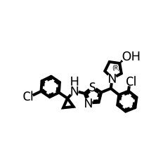 O[C@@H]1CCN(C(c2cnc(NC3(c4cccc(Cl)c4)CC3)s2)c2ccccc2Cl)C1